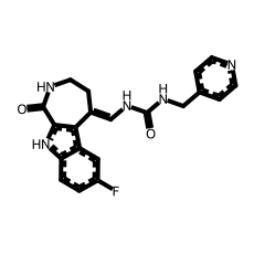 O=C(NC=C1CCNC(=O)c2[nH]c3ccc(F)cc3c21)NCc1ccncc1